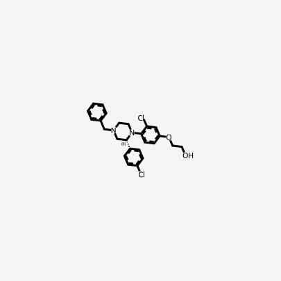 OCCOc1ccc(N2CCN(Cc3ccccc3)C[C@H]2c2ccc(Cl)cc2)c(Cl)c1